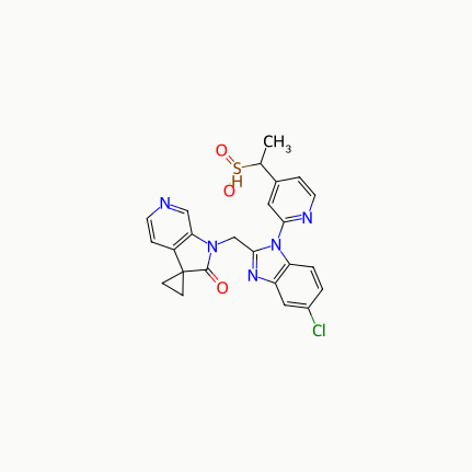 CC(c1ccnc(-n2c(CN3C(=O)C4(CC4)c4ccncc43)nc3cc(Cl)ccc32)c1)[SH](=O)=O